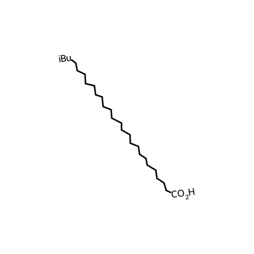 CCC(C)CCCCCCCCCCCCCCCCCCCCCCC(=O)O